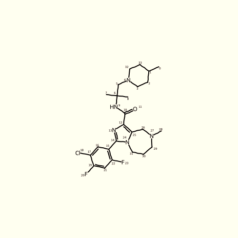 CC1CCN(CC(C)(C)NC(=O)c2nc(-c3cc(Cl)c(F)cc3F)n3c2CN(C)CCC3)CC1